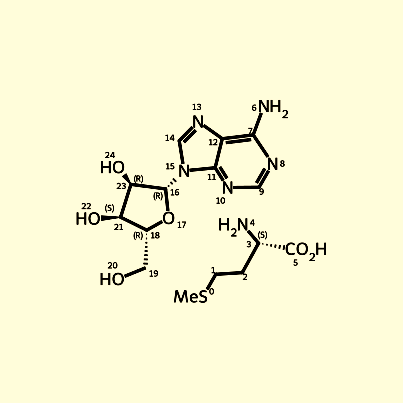 CSCC[C@H](N)C(=O)O.Nc1ncnc2c1ncn2[C@@H]1O[C@H](CO)[C@@H](O)[C@H]1O